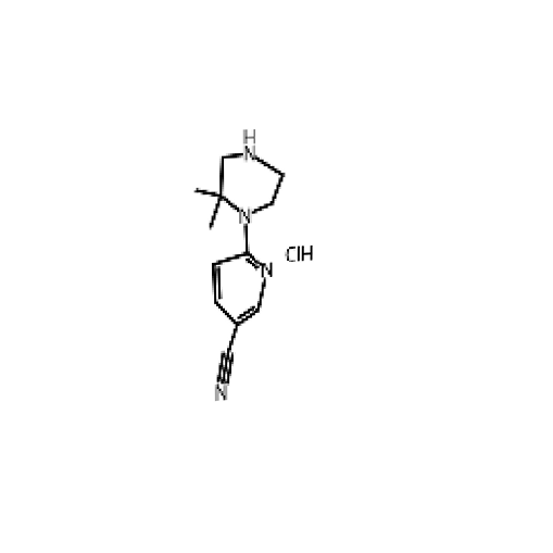 CC1(C)CNCCN1c1ccc(C#N)cn1.Cl